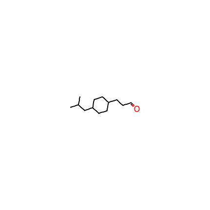 CC(C)CC1CCC(CCC=O)CC1